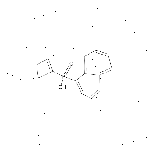 O=P(O)(C1=CCC1)c1cccc2ccccc12